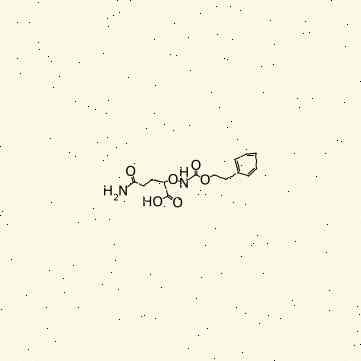 NC(=O)CC[C@@H](ONC(=O)OCCc1ccccc1)C(=O)O